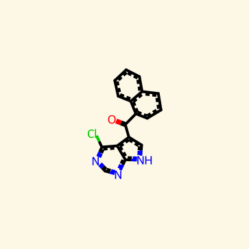 O=C(c1cccc2ccccc12)c1c[nH]c2ncnc(Cl)c12